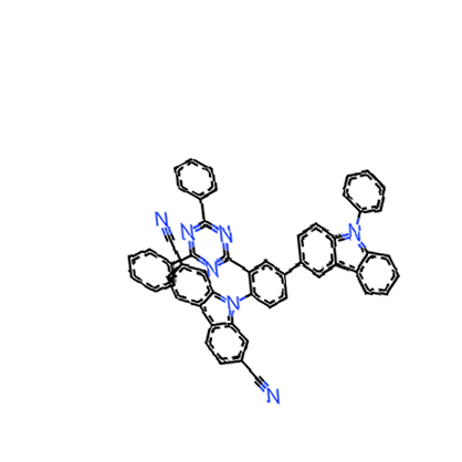 N#Cc1ccc2c3ccc(C#N)cc3n(-c3ccc(-c4ccc5c(c4)c4ccccc4n5-c4ccccc4)cc3-c3nc(-c4ccccc4)nc(-c4ccccc4)n3)c2c1